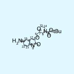 Cn1c(=O)c(OCC2CN(C(=O)OC(C)(C)C)CCO2)cc2cc(N)ccc21